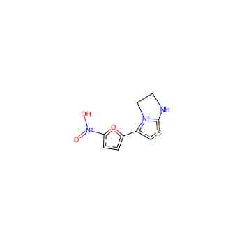 O=[N+](O)c1ccc(-c2csc3[n+]2CCN3)o1